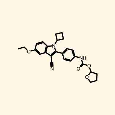 CCOc1ccc2c(c1)c(C#N)c(-c1ccc(NC(=O)OC3CCCO3)cc1)n2C1CCC1